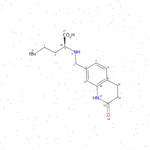 CC(C)(C)CC[C@H](NCc1ccc2c(c1)NC(=O)CC2)C(=O)O